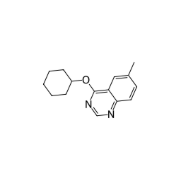 Cc1ccc2ncnc(OC3CCCCC3)c2c1